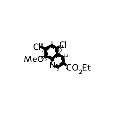 CCOC(=O)c1cnc2c(OC)c(Cl)cc(Cl)c2c1